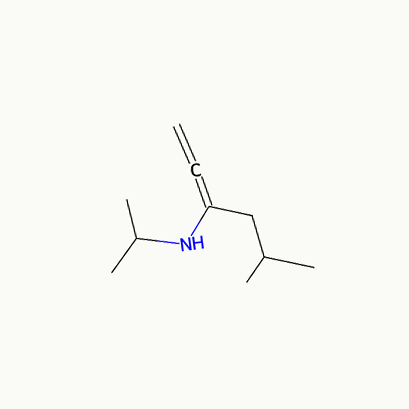 C=C=C(CC(C)C)NC(C)C